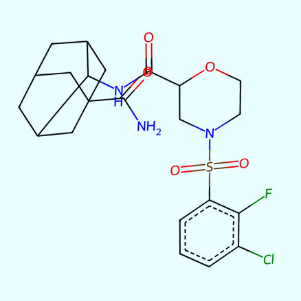 NC(=O)C12CC3CC(C1)C(NC(=O)C1CN(S(=O)(=O)c4cccc(Cl)c4F)CCO1)C(C3)C2